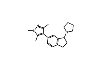 Cc1nn(C)c(C)c1-c1ccc2c(c1)C(N1CCCC1)CC2